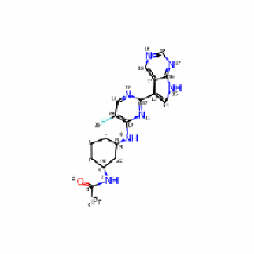 CC(C)C(=O)N[C@H]1CCC[C@@H](Nc2nc(-c3c[nH]c4ncncc34)ncc2F)C1